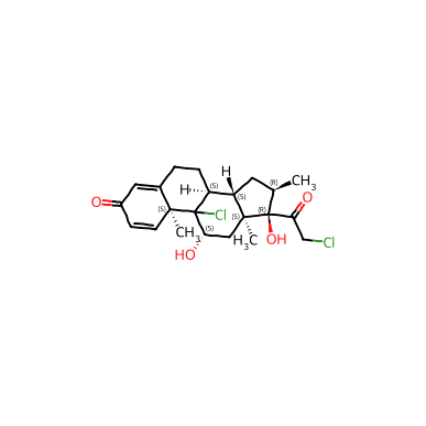 C[C@@H]1C[C@H]2[C@@H]3CCC4=CC(=O)C=C[C@]4(C)C3(Cl)[C@@H](O)C[C@]2(C)[C@@]1(O)C(=O)CCl